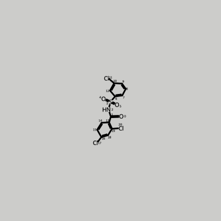 O=C(NS(=O)(=O)c1cccc(Cl)c1)c1ccc(Cl)cc1Cl